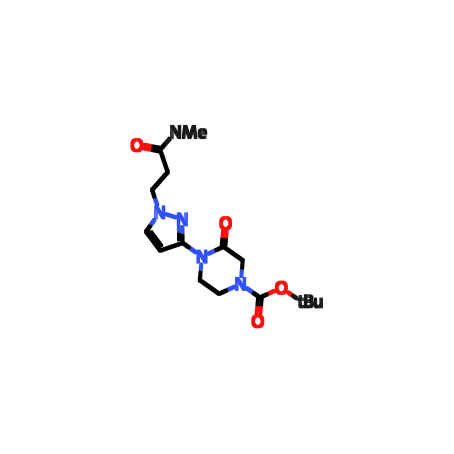 CNC(=O)CCn1ccc(N2CCN(C(=O)OC(C)(C)C)CC2=O)n1